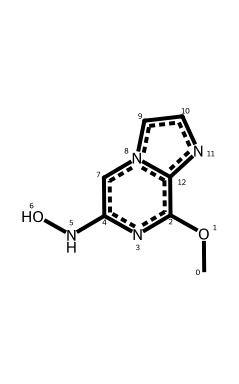 COc1nc(NO)cn2ccnc12